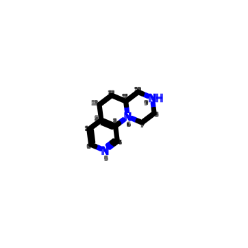 c1cc2c(cn1)N1CCNCC1CC2